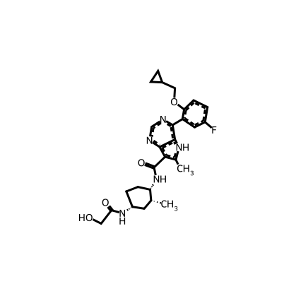 Cc1[nH]c2c(-c3cc(F)ccc3OCC3CC3)ncnc2c1C(=O)N[C@H]1CC[C@@H](NC(=O)CO)C[C@H]1C